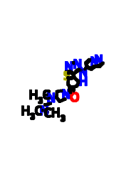 CN(C)CCN(C)C1CCN(C(=O)[C@H]2CCc3c(sc4ncnc(Nc5ccn6nccc6c5)c34)C2)CC1